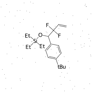 C=CC(F)(F)C(O[Si](CC)(CC)CC)c1ccc(C(C)(C)C)cc1